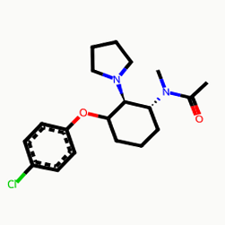 CC(=O)N(C)[C@@H]1CCCC(Oc2ccc(Cl)cc2)[C@H]1N1CCCC1